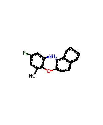 N#Cc1cc(F)cc(N)c1Oc1ccc2ccccc2c1